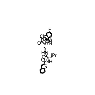 CNC(=O)[C@@H](CCCNC(=O)[C@H](CC(C)C)NC(=O)c1cc2ccccc2s1)NS(=O)(=O)c1ccc(F)cc1Cl